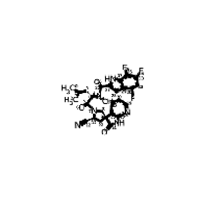 CC(C)C[C@@H](C(=O)N1C[C@]2(C[C@H]1C#N)C(=O)Nc1ncccc12)N(C)C(=O)c1cc2c(F)cc(F)c(F)c2[nH]1